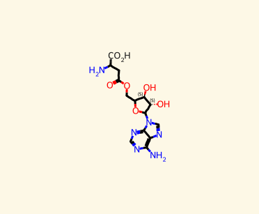 Nc1ncnc2c1ncn2C1OC(COC(=O)CC(N)C(=O)O)[C@@H](O)[C@@H]1O